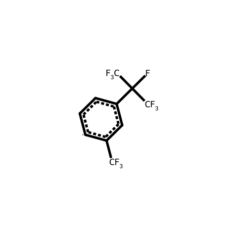 FC(F)(F)c1[c]ccc(C(F)(C(F)(F)F)C(F)(F)F)c1